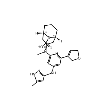 Cc1cc(Nc2cc(C3=CCOC3)nc(N(C)[C@@H]3C[C@H]4CCC[C@@H](C3)N4C(=O)O)n2)n[nH]1